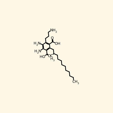 CCCCCCCCCCC(C)Cc1c(C(=O)O)c(N)c(N)c(CCCN)c1C(=O)O